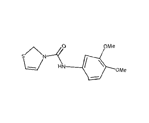 COc1ccc(NC(=O)N2C=CSC2)cc1OC